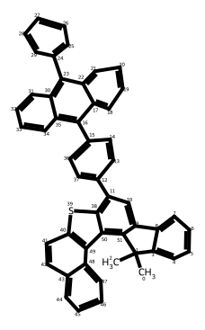 CC1(C)c2ccccc2-c2cc(-c3ccc(-c4c5ccccc5c(-c5ccccc5)c5ccccc45)cc3)c3sc4ccc5ccccc5c4c3c21